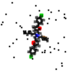 C=CC[N+](CC=C)(Cc1ccc(-c2ccc(Cl)cc2)o1)Cc1ccc(-c2ccc(Cl)cc2)o1.[Br-]